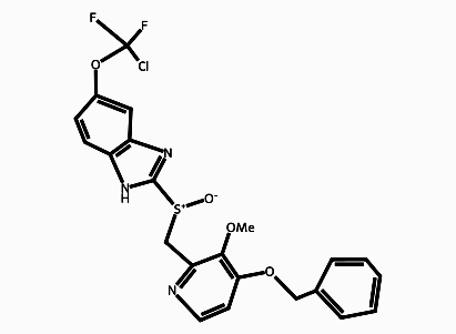 COc1c(OCc2ccccc2)ccnc1C[S+]([O-])c1nc2cc(OC(F)(F)Cl)ccc2[nH]1